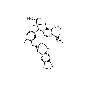 Cc1ccc(C(c2ccc(N(C)N)c(N)c2C)C(C)(C)C(=O)O)cc1CN1CCOc2cc3c(cc2C1)CCS3